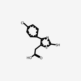 O=C(O)Cc1sc(S)nc1-c1ccc(Cl)cc1